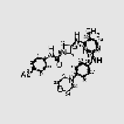 CC(=O)c1ccc(NC(=O)N2CC(Nc3nc(Nc4ccc(N5CCOCC5)cc4)ncc3C)C2)cc1